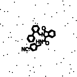 N#Cc1ccc(CNC(=O)C2c3ccccc3C(=O)N2Cc2ccccc2-c2ccccc2)cc1